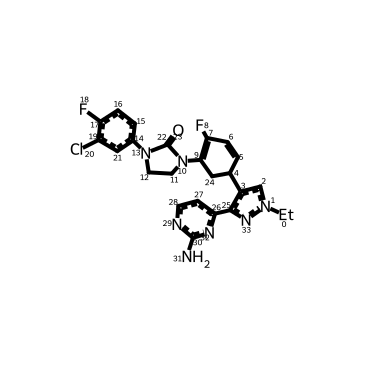 CCn1cc(C2C=CC(F)=C(N3CCN(c4ccc(F)c(Cl)c4)C3=O)C2)c(-c2ccnc(N)n2)n1